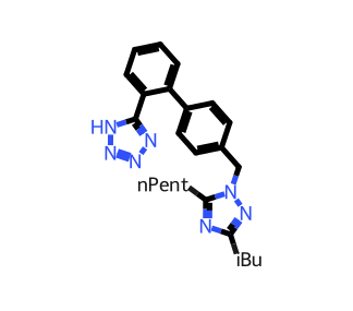 CCCCCc1nc(C(C)CC)nn1Cc1ccc(-c2ccccc2-c2nnn[nH]2)cc1